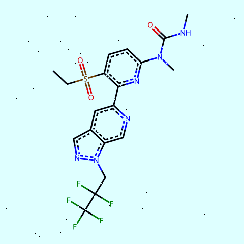 CCS(=O)(=O)c1ccc(N(C)C(=O)NC)nc1-c1cc2cnn(CC(F)(F)C(F)(F)F)c2cn1